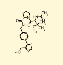 CC(=O)N[C@H](C(=O)N1CCC[C@H]1C(=O)NCc1ccc(-c2scnc2COI)cc1)C(C)(C)C